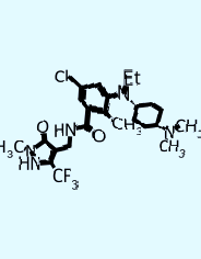 CCN(c1cc(Cl)cc(C(=O)NCc2c(C(F)(F)F)[nH]n(C)c2=O)c1C)[C@H]1CC[C@H](N(C)C)CC1